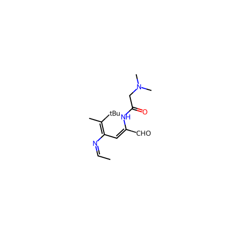 C\C=N/C(/C=C(/C=O)NC(=O)CN(C)C)=C(\C)C(C)(C)C